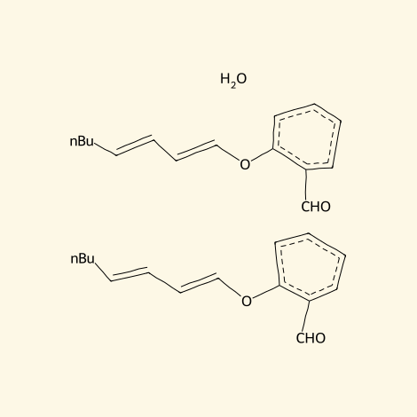 CCCCC=CC=COc1ccccc1C=O.CCCCC=CC=COc1ccccc1C=O.O